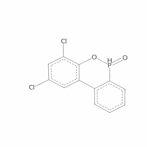 O=[PH]1Oc2c(Cl)cc(Cl)cc2-c2ccccc21